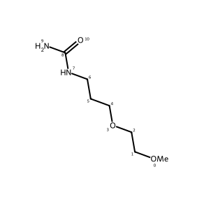 COCCOCCCNC(N)=O